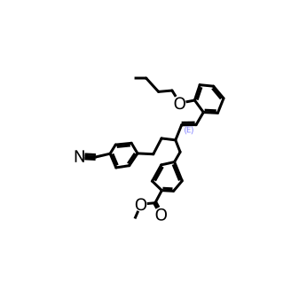 CCCCOc1ccccc1/C=C/C(CCc1ccc(C#N)cc1)Cc1ccc(C(=O)OC)cc1